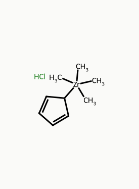 Cl.[CH3][Zr]([CH3])([CH3])([CH3])[CH]1C=CC=C1